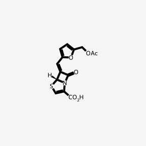 CC(=O)OCc1ccc(C=C2C(=O)N3C(C(=O)O)=CS[C@H]23)o1